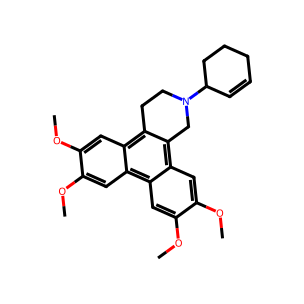 COc1cc2c3c(c4cc(OC)c(OC)cc4c2cc1OC)CN(C1C=CCCC1)CC3